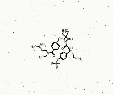 CCC[C@@H](NC(=O)N1C(=O)C(CC)(CC)C1Oc1ccc(C(=O)N(CC)CCN(C)C)cc1)c1ccc(OC(F)(F)F)cc1